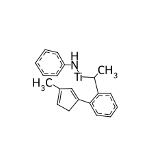 CC1=CCC(c2ccccc2[CH](C)[Ti][NH]c2ccccc2)=C1